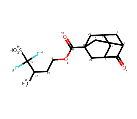 O=C1C2CC3CC1CC(C(=O)OCCC(C(F)(F)F)C(F)(F)S(=O)(=O)O)(C3)C2